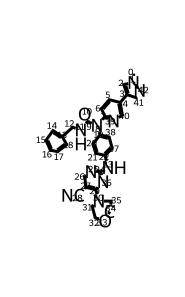 Cn1cc(-c2ccc(N(C(=O)NCc3ccccc3)c3ccc(Nc4ncc(C#N)c(N5CCOCC5)n4)cc3)nc2)cn1